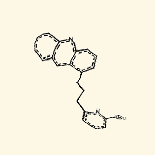 CCC(C)c1cccc(CCCc2cccc3nc4ccccc4cc23)n1